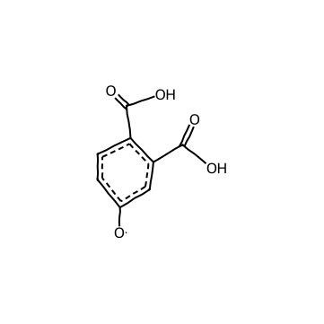 [O]c1ccc(C(=O)O)c(C(=O)O)c1